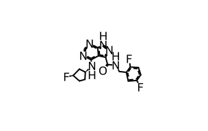 O=C(NCc1cc(F)ccc1F)c1n[nH]c2ncnc(N[C@H]3CC[C@@H](F)C3)c12